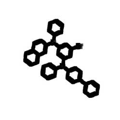 Brc1cc(N(c2ccccc2)c2ccc(-c3ccccc3)cc2)cc(N(c2ccccc2)c2ccc3ccccc3c2)c1